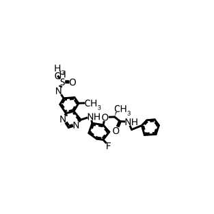 Cc1cc(/N=[SH](/C)=O)cc2ncnc(Nc3ccc(F)cc3O[C@H](C)C(=O)NCc3ccccc3)c12